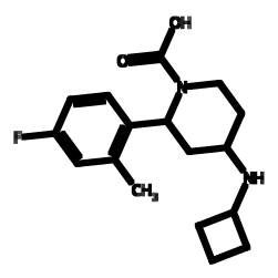 Cc1cc(F)ccc1C1CC(NC2CCC2)CCN1C(=O)O